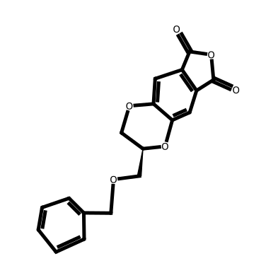 O=C1OC(=O)c2cc3c(cc21)OC[C@H](COCc1ccccc1)O3